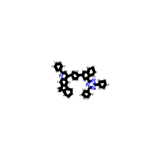 CC1(C)c2ccccc2-c2cc3c(-c4ccc(-c5cc(-c6nc(-c7ccccc7)nc(-c7ccccc7)n6)c6ccccc6c5)cc4)cc(-c4ccccc4)nc3cc21